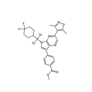 [2H]C([2H])(C1CCC(F)(F)CC1)n1cc(-c2ccc(C(=O)OC)cc2)c2ncc(-c3c(C)noc3C)nc21